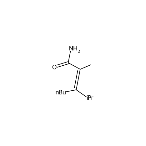 CCCCC(=C(C)C(N)=O)C(C)C